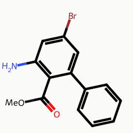 COC(=O)c1c(N)cc(Br)cc1-c1ccccc1